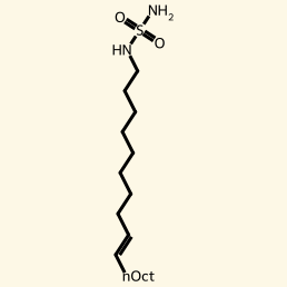 CCCCCCCCC=CCCCCCCCCNS(N)(=O)=O